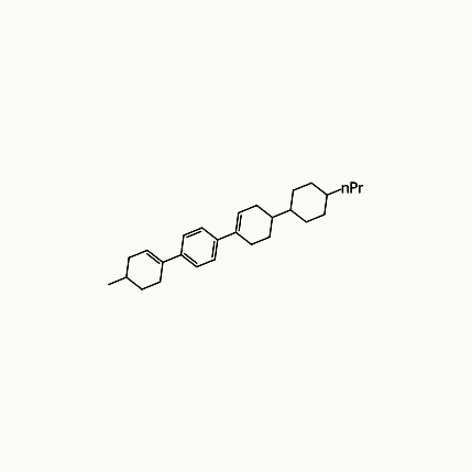 CCCC1CCC(C2CC=C(c3ccc(C4=CCC(C)CC4)cc3)CC2)CC1